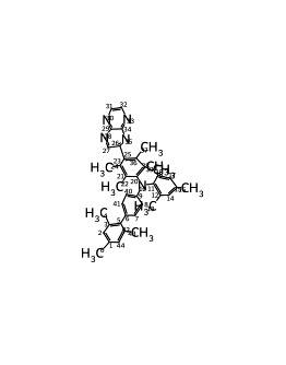 Cc1cc(C)c(-c2ccc(N(c3c(C)cc(C)cc3C)c3c(C)c(C)c(-c4cnc5nccnc5n4)c(C)c3C)cc2)c(C)c1